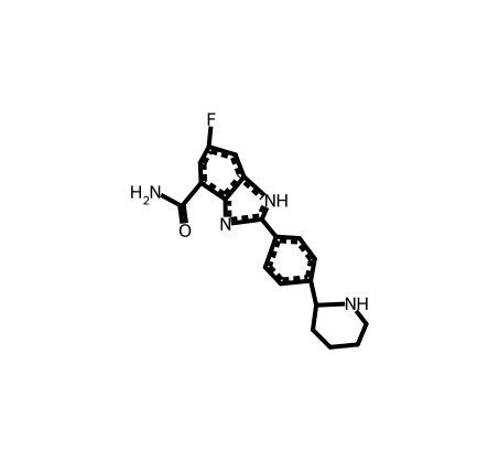 NC(=O)c1cc(F)cc2[nH]c(-c3ccc(C4CCCCN4)cc3)nc12